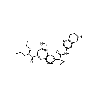 CCCN(OCC)C(=O)C1=Cc2ccc(C3(C(=O)Nc4cnc5c(c4)CNCC5)CC3)cc2N=C(N)C1